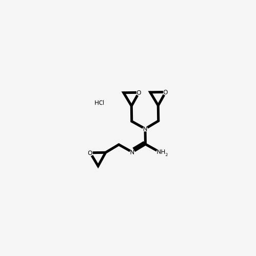 Cl.NC(=NCC1CO1)N(CC1CO1)CC1CO1